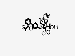 COC(=O)c1c(C(C)(C)O)nc(CN(C)C(=O)OC(C)(C)C)n1Cc1ccc(-c2ccccc2C(=O)C(C)=O)cc1